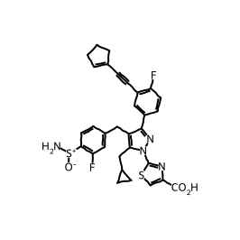 N[S+]([O-])c1ccc(Cc2c(-c3ccc(F)c(C#CC4=CCCC4)c3)nn(-c3nc(C(=O)O)cs3)c2CC2CC2)cc1F